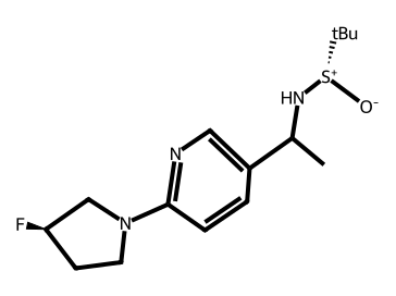 CC(N[S@@+]([O-])C(C)(C)C)c1ccc(N2CC[C@@H](F)C2)nc1